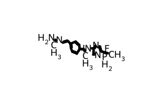 C/C(N)=N\C=C\C1=CC=CC(C(C)Nc2cnc(C(C)(F)P)cn2)C=C1